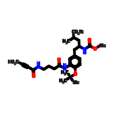 CCOC(=O)C(C)CC(Cc1ccc(O[Si](C)(C)C(C)(C)C)c(NC(=O)CCCNC(=O)C#CC(=O)O)c1)NC(=O)OC(C)(C)C